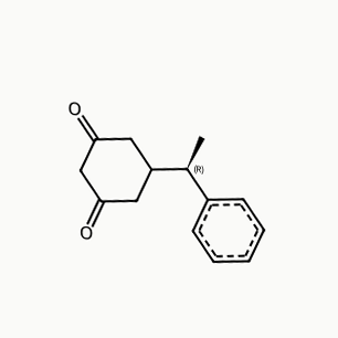 C[C@@H](c1ccccc1)C1CC(=O)CC(=O)C1